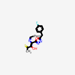 CCCC(C)/C=N\C(=C(\O)C(C)=S)c1nnc(Cc2ccc(F)cc2)o1